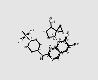 CS(=O)(=O)N1CCC(Nc2ncc3cc(F)c(=O)n([C@@H]4CCC(O)C45CC5)c3n2)CC1